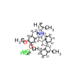 CCCC(CCCC1(CCCC(C)C)NCCc2cc(OC)c(OC)cc21)(c1ccccc1)c1ccccc1.Cl.Cl